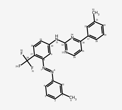 Cc1cccc(/N=N/c2cc(Nc3nccc(-c4cccc(C)c4)n3)ccc2C(F)(F)F)c1